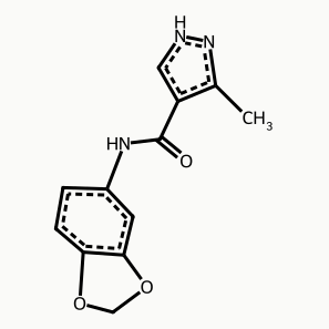 Cc1n[nH]cc1C(=O)Nc1ccc2c(c1)OCO2